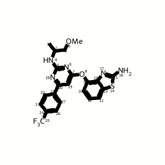 COCC(C)Nc1nc(Oc2cccc3sc(N)nc23)cc(-c2ccc(C(F)(F)F)cc2)n1